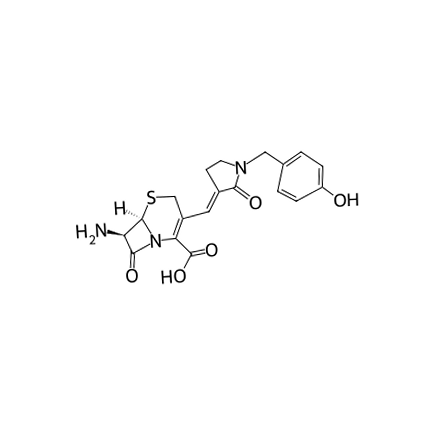 N[C@@H]1C(=O)N2C(C(=O)O)=C(/C=C3\CCN(Cc4ccc(O)cc4)C3=O)CS[C@H]12